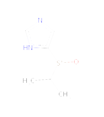 CC(C)[S+]([O-])c1cnc[nH]1